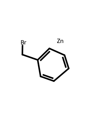 BrCc1ccccc1.[Zn]